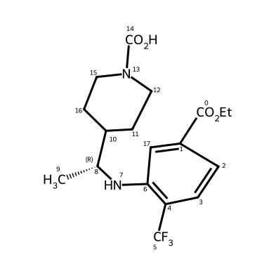 CCOC(=O)c1ccc(C(F)(F)F)c(N[C@H](C)C2CCN(C(=O)O)CC2)c1